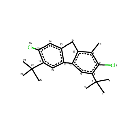 Cc1c(Cl)c(C(C)(C)C)cc2c1Cc1cc(Cl)c(C(C)(C)C)cc1-2